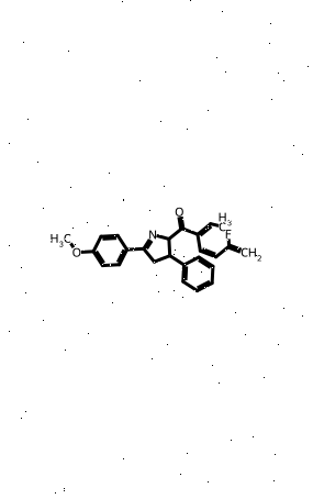 C=C(F)/C=C\C(=C/C)C(=O)C1N=C(c2ccc(OC)cc2)CC1c1ccccc1